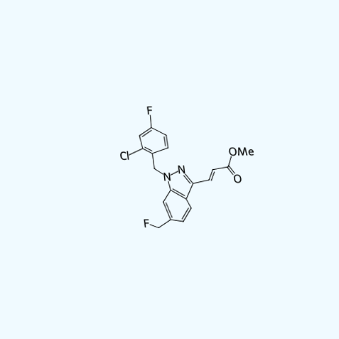 COC(=O)C=Cc1nn(Cc2ccc(F)cc2Cl)c2cc(CF)ccc12